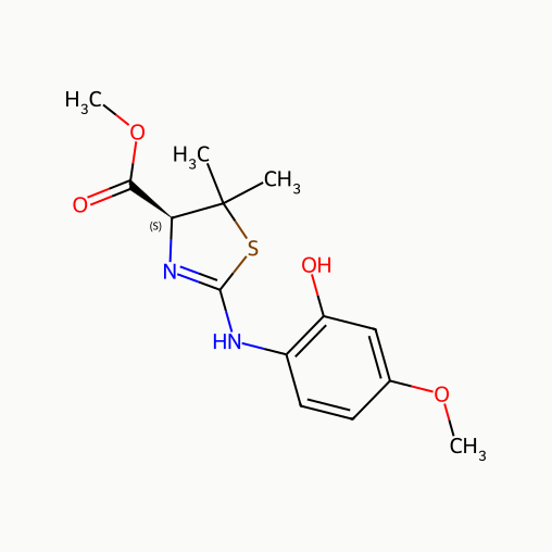 COC(=O)[C@@H]1N=C(Nc2ccc(OC)cc2O)SC1(C)C